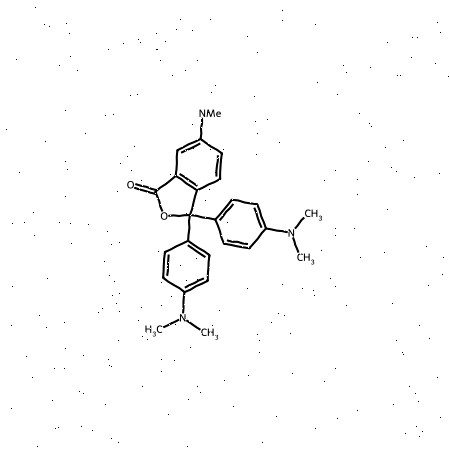 CNc1ccc2c(c1)C(=O)OC2(c1ccc(N(C)C)cc1)c1ccc(N(C)C)cc1